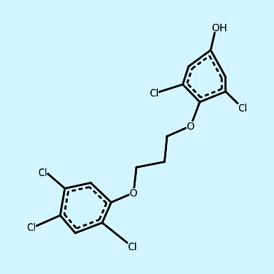 Oc1cc(Cl)c(OCCCOc2cc(Cl)c(Cl)cc2Cl)c(Cl)c1